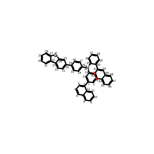 c1cc(-c2cccc3ccccc23)cc(N(c2ccc(-c3ccc4c(c3)sc3ccccc34)cc2)c2ccccc2-c2ccc3ccccc3c2)c1